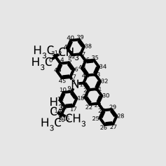 CC(C)(C)c1ccc(N(c2ccc(C(C)(C)C)cc2)c2c3ccc(-c4ccccc4)cc3cc3ccc(C4C=CC=CC4)cc23)cc1